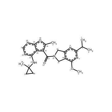 COc1nc(C(C)C)nc2c1CN(C(=O)c1c(C)oc3ncnc(NC4(C)CC4)c13)C2